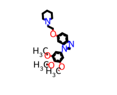 COc1cc(-n2cnc3ccc(OCCN4CCCCC4)cc32)cc(OC)c1OC